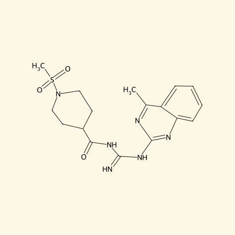 Cc1nc(NC(=N)NC(=O)C2CCN(S(C)(=O)=O)CC2)nc2ccccc12